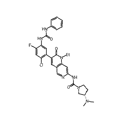 CCn1c(=O)c(-c2cc(NC(=O)Nc3ccccc3)c(F)cc2Cl)cc2cnc(NC(=O)N3CC[C@H](N(C)C)C3)cc21